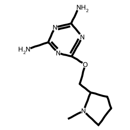 CN1CCCC1COc1nc(N)nc(N)n1